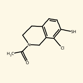 CC(=O)N1CCc2ccc(S)c(Cl)c2C1